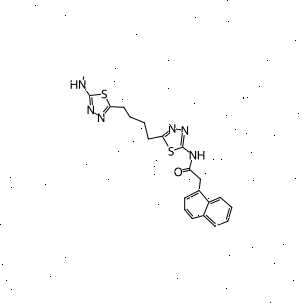 CNc1nnc(CCCCc2nnc(NC(=O)Cc3cccc4ccccc34)s2)s1